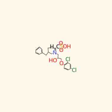 CS(=O)(=O)O.OC(COc1ccc(Cl)cc1Cl)CN1CCCC(Cc2ccccc2)C1